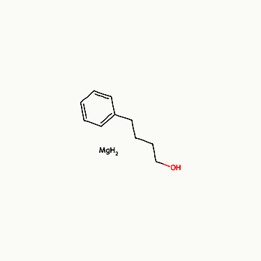 OCCCCc1ccccc1.[MgH2]